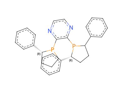 c1ccc(C2CC[C@H](c3ccccc3)P2c2nccnc2P2CCC[C@@H]2c2ccccc2)cc1